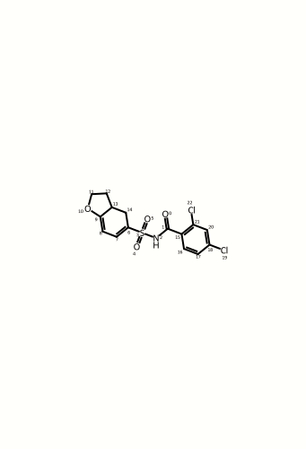 O=C(NS(=O)(=O)C1=CC=C2OCCC2C1)c1ccc(Cl)cc1Cl